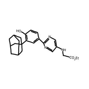 CCOC(=O)CNc1cnc(-c2ccc(O)c(C34CC5CC(CC(C5)C3)C4)c2)nc1